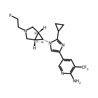 Nc1ncc(-c2cn([C@@H]3[C@@H]4CN(CCF)C[C@@H]43)c(C3CC3)n2)cc1C(F)(F)F